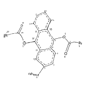 CCCCCc1ccc2c(OC(=O)C(C)C)c3ccccc3c(OC(=O)C(C)C)c2c1